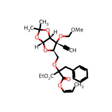 C#C[C@@]1(OCOC)[C@@H](COC(Cc2ccccc2)(C(=O)O/C=C\C)C(=O)OCC)O[C@@H]2OC(C)(C)O[C@@H]21